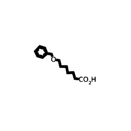 O=C(O)CCCCCCOCc1ccccc1